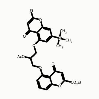 CCOC(=O)c1cc(=O)c2c(OCC(COc3cc([N+](C)(C)C)cc4oc(CC)cc(=O)c34)OC(C)=O)cccc2o1